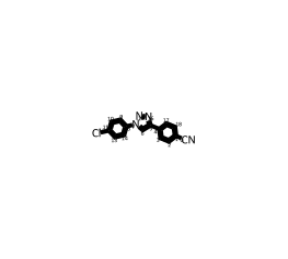 N#Cc1ccc(-c2cn(-c3ccc(Cl)cc3)nn2)cc1